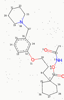 CC(=O)NOC(=O)C1(CCCOc2cccc(CN3CCCCC3)c2)CCCCC1